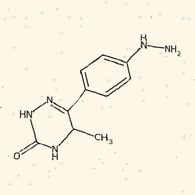 CC1NC(=O)NN=C1c1ccc(NN)cc1